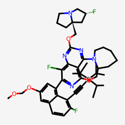 COCOc1cc(-c2nc3c4c(nc(OC[C@@]56CCCN5C[C@H](F)C6)nc4c2F)N2CCCCCC2CO3)c2c(C#C[Si](C(C)C)(C(C)C)C(C)C)c(F)ccc2c1